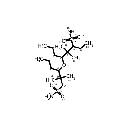 CCCC(OC(CCC)C(C)(C)C(CC)S(N)(=O)=O)C(C)(C)CS(N)(=O)=O